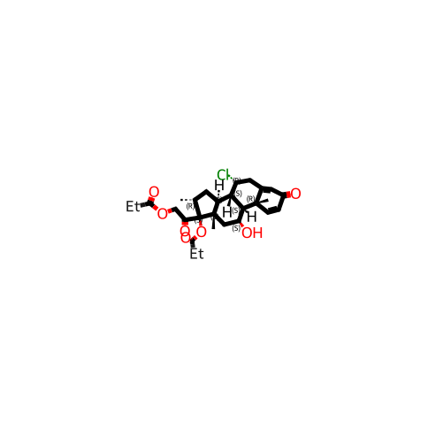 CCC(=O)OCC(=O)[C@]1(OC(=O)CC)[C@H](C)C[C@H]2[C@H]3[C@H]([C@@H](O)C[C@@]21C)[C@@]1(C)C=CC(=O)C=C1C[C@H]3Cl